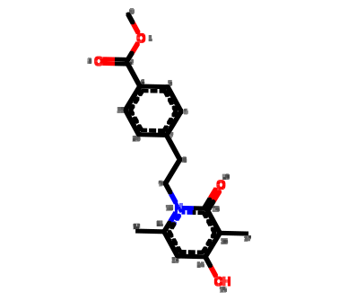 COC(=O)c1ccc(CCn2c(C)cc(O)c(C)c2=O)cc1